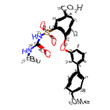 COc1ccc(-c2cccc(Oc3ccc(C(=O)O)cc3S(=O)(=O)NC(=O)NC(C)(C)C)c2)cc1